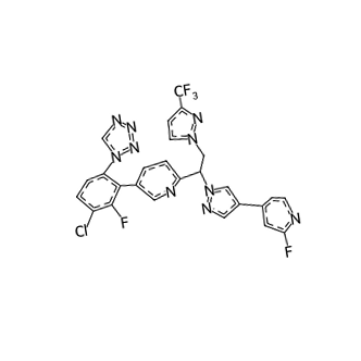 Fc1cc(-c2cnn(C(Cn3ccc(C(F)(F)F)n3)c3ccc(-c4c(-n5cnnn5)ccc(Cl)c4F)cn3)c2)ccn1